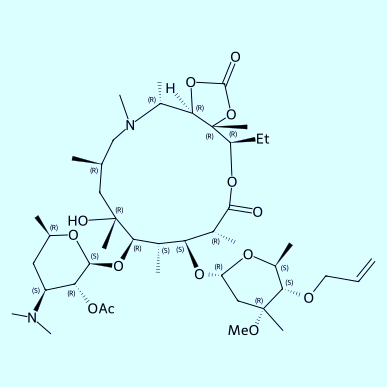 C=CCO[C@H]1[C@H](C)O[C@@H](O[C@H]2[C@H](C)[C@@H](O[C@@H]3O[C@H](C)C[C@H](N(C)C)[C@H]3OC(C)=O)[C@](C)(O)C[C@@H](C)CN(C)[C@H](C)[C@H]3OC(=O)O[C@]3(C)[C@@H](CC)OC(=O)[C@@H]2C)C[C@@]1(C)OC